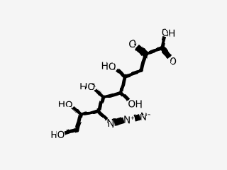 [N-]=[N+]=NC(C(O)CO)C(O)C(O)C(O)CC(=O)C(=O)O